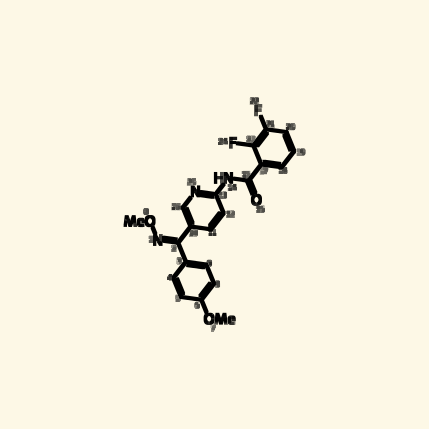 CON=C(c1ccc(OC)cc1)c1ccc(NC(=O)c2cccc(F)c2F)nc1